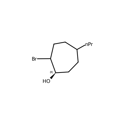 CCCC1CCC(Br)[C@H](O)CC1